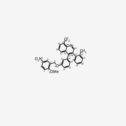 COc1ccc([N+](=O)[O-])cc1COc1cccc(-c2c(-c3ccccc3C)cnc3c(C(F)(F)F)cccc23)c1